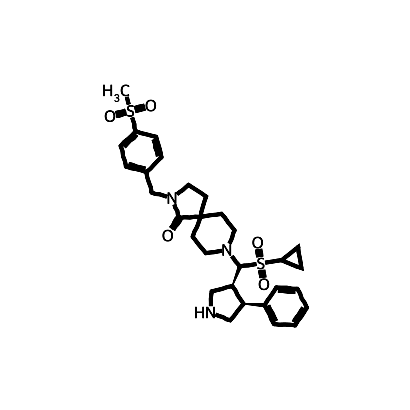 CS(=O)(=O)c1ccc(CN2CCC3(CCN(C([C@@H]4CNC[C@@H]4c4ccccc4)S(=O)(=O)C4CC4)CC3)C2=O)cc1